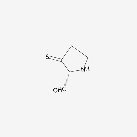 O=C[C@H]1NCCC1=S